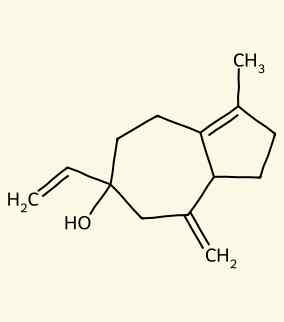 C=CC1(O)CCC2=C(C)CCC2C(=C)C1